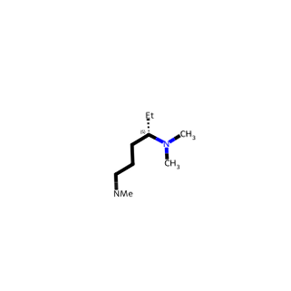 CC[C@@H](CCCNC)N(C)C